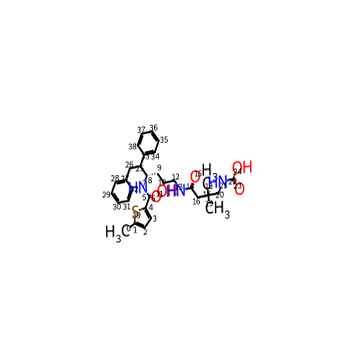 Cc1ccc(C(=O)N[C@@H](C[C@@H](O)CNC(=O)CC(C)(C)CNC(=O)O)C(Cc2ccccc2)c2ccccc2)s1